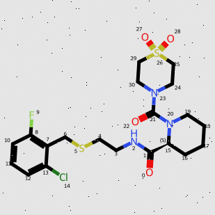 O=C(NCCSCc1c(F)cccc1Cl)[C@@H]1CCCCN1C(=O)N1CCS(=O)(=O)CC1